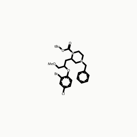 COCC(CC1CN(Cc2ccccc2)CCN1C(=O)OC(C)(C)C)Oc1ccc(Cl)cc1Br